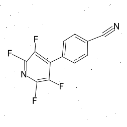 N#Cc1ccc(-c2c(F)c(F)nc(F)c2F)cc1